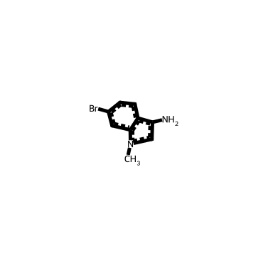 Cn1cc(N)c2ccc(Br)cc21